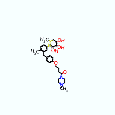 Cc1ccc([C@H]2[C@H](O)[C@H](O)[C@H](O)C[SH]2C)cc1Cc1ccc(OCCCC(=O)N2CCN(C)CC2)cc1